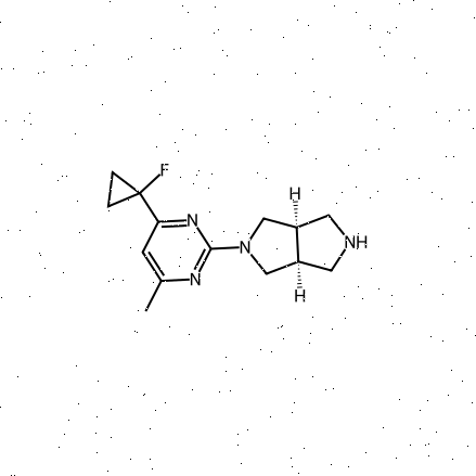 Cc1cc(C2(F)CC2)nc(N2C[C@H]3CNC[C@H]3C2)n1